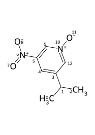 CC(C)c1cc([N+](=O)[O-])c[n+]([O-])c1